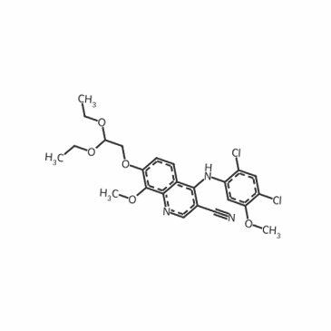 CCOC(COc1ccc2c(Nc3cc(OC)c(Cl)cc3Cl)c(C#N)cnc2c1OC)OCC